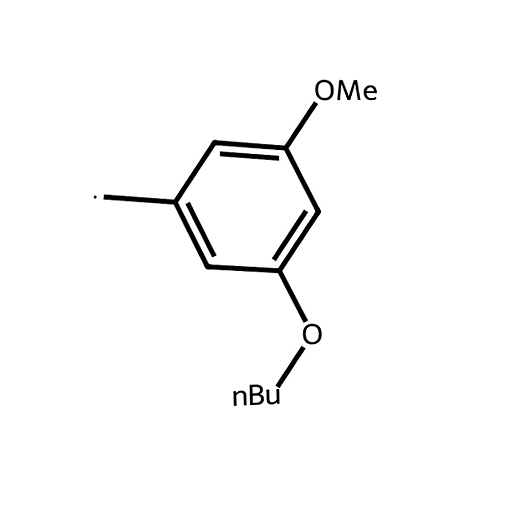 [CH2]c1cc(OC)cc(OCCCC)c1